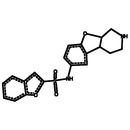 O=S(=O)(Nc1ccc2c(c1)C1CCNCC1O2)c1cc2ccccc2o1